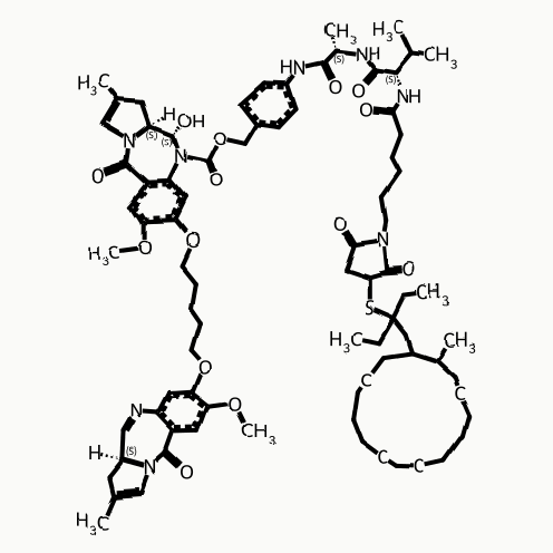 CCC(CC)(CC1CCCCCCCCCCCCCC1C)SC1CC(=O)N(CCCCCC(=O)N[C@H](C(=O)N[C@@H](C)C(=O)Nc2ccc(COC(=O)N3c4cc(OCCCCCOc5cc6c(cc5OC)C(=O)N5C=C(C)C[C@H]5C=N6)c(OC)cc4C(=O)N4C=C(C)C[C@H]4[C@@H]3O)cc2)C(C)C)C1=O